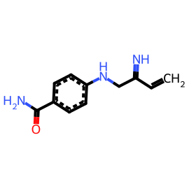 C=CC(=N)CNc1ccc(C(N)=O)cc1